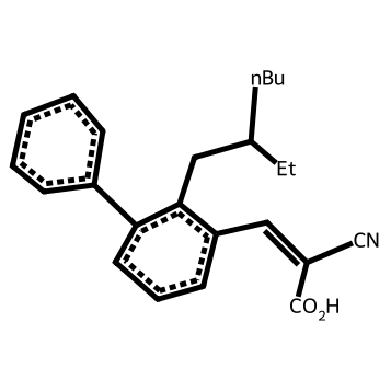 CCCCC(CC)Cc1c(C=C(C#N)C(=O)O)cccc1-c1ccccc1